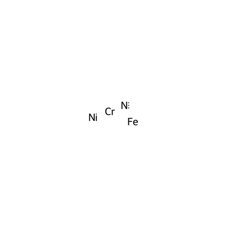 [Cr].[Fe].[N].[Ni]